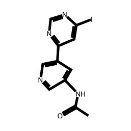 CC(=O)Nc1cncc(-c2cc(I)ncn2)c1